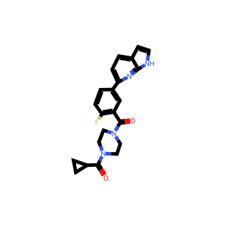 O=C(c1cc(-c2ccc3cc[nH]c3n2)ccc1F)N1CCN(C(=O)C2CC2)CC1